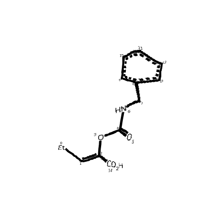 CC/C=C(\OC(=O)NCc1ccccc1)C(=O)O